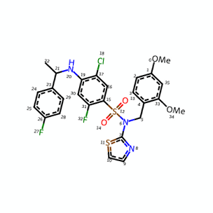 COc1ccc(CN(c2nccs2)S(=O)(=O)c2cc(Cl)c(NC(C)c3ccc(F)cc3)cc2F)c(OC)c1